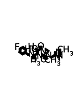 Cn1cc(CN2CCn3c(nc(C(=O)NCc4ccc(F)cc4)c(O)c3=O)C2(C)C)nn1